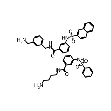 NCCCCNC(=O)c1cccc(NS(=O)(=O)c2ccccc2)c1.NCc1cccc(CNC(=O)c2cccc(NS(=O)(=O)c3ccc4ccccc4c3)c2)c1